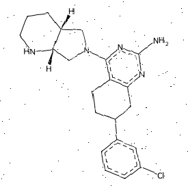 Nc1nc2c(c(N3C[C@H]4CCCN[C@H]4C3)n1)CCC(c1cccc(Cl)c1)C2